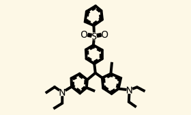 CCN(CC)c1ccc(C(c2ccc(S(=O)(=O)c3ccccc3)cc2)c2ccc(N(CC)CC)cc2C)c(C)c1